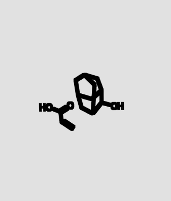 C=CC(=O)O.OC1C2CC3CC(C2)CC1C3